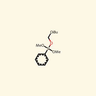 CO[Si](OC)(OCOCC(C)C)c1ccccc1